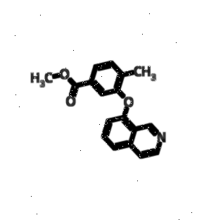 COC(=O)c1ccc(C)c(Oc2cccc3ccncc23)c1